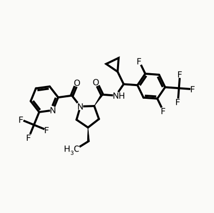 CC[C@@H]1C[C@H](C(=O)NC(c2cc(F)c(C(F)(F)F)cc2F)C2CC2)N(C(=O)c2cccc(C(F)(F)F)n2)C1